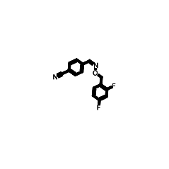 N#Cc1ccc(/[C]=N\OCc2ccc(F)cc2F)cc1